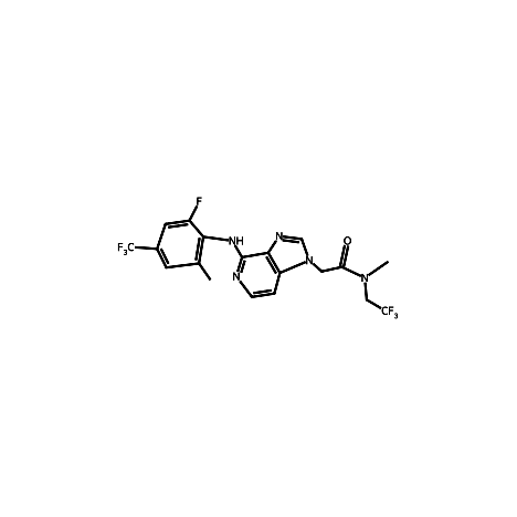 Cc1cc(C(F)(F)F)cc(F)c1Nc1nccc2c1ncn2CC(=O)N(C)CC(F)(F)F